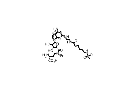 CC(C)N(CC[C@H](N)C(=O)O)C(=O)[C@H]1O[C@@H](n2cnc3c(N)nc(NCCNC(=O)CCCCCNS(C)(=O)=O)nc32)[C@H](O)[C@@H]1O